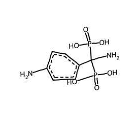 Nc1ccc(C(N)(P(=O)(O)O)P(=O)(O)O)cc1